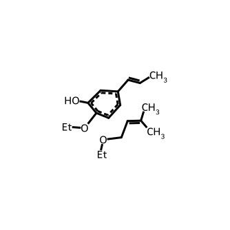 CC=Cc1ccc(OCC)c(O)c1.CCOCC=C(C)C